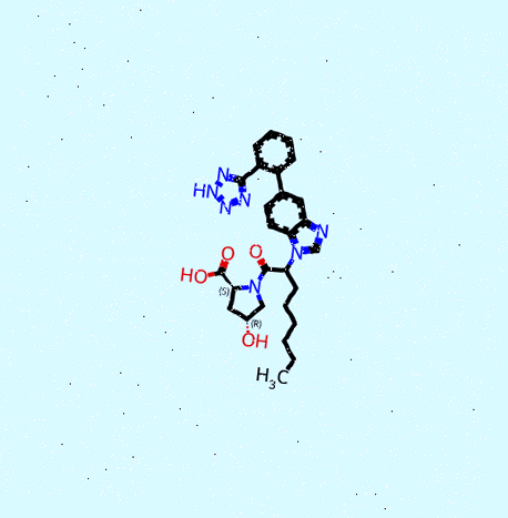 CCCCCCC(C(=O)N1C[C@H](O)C[C@H]1C(=O)O)n1cnc2cc(-c3ccccc3-c3nn[nH]n3)ccc21